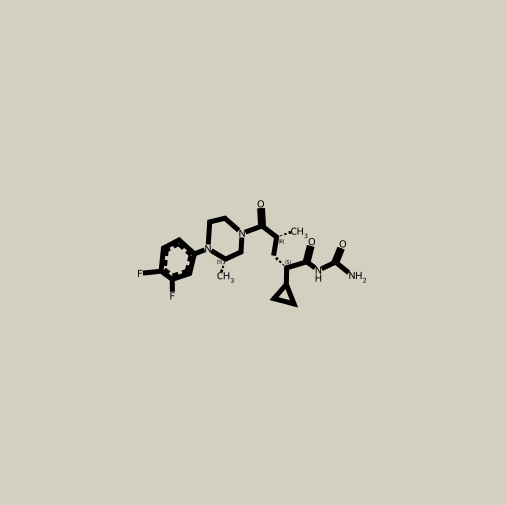 C[C@H](C[C@H](C(=O)NC(N)=O)C1CC1)C(=O)N1CCN(c2ccc(F)c(F)c2)[C@@H](C)C1